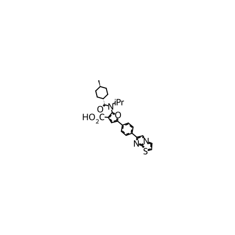 CC(C)N(c1oc(-c2ccc(-c3cn4ccsc4n3)cc2)cc1C(=O)O)C(=O)[C@H]1CC[C@H](C)CC1